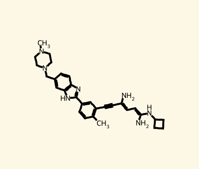 Cc1ccc(-c2nc3ccc(CN4CCN(C)CC4)cc3[nH]2)cc1C#C/C(N)=C/C=C(\N)NC1CCC1